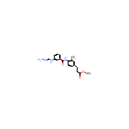 Cc1cc(CCC(=O)OC(C)(C)C)ccc1NC(=O)c1cccc(NC=NN)c1